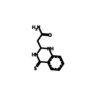 NC(=O)CC1NC(=S)c2ccccc2N1